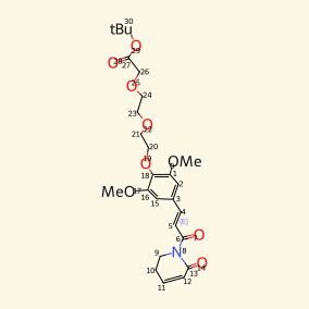 COc1cc(/C=C/C(=O)N2CCC=CC2=O)cc(OC)c1OCCOCCOCC(=O)OC(C)(C)C